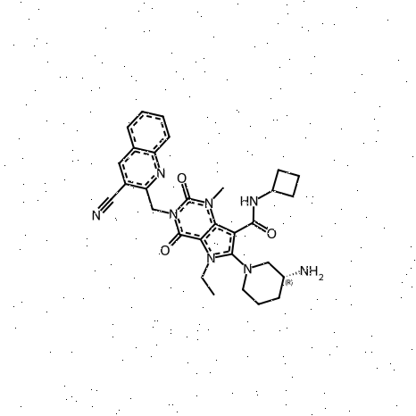 CCn1c(N2CCC[C@@H](N)C2)c(C(=O)NC2CCC2)c2c1c(=O)n(Cc1nc3ccccc3cc1C#N)c(=O)n2C